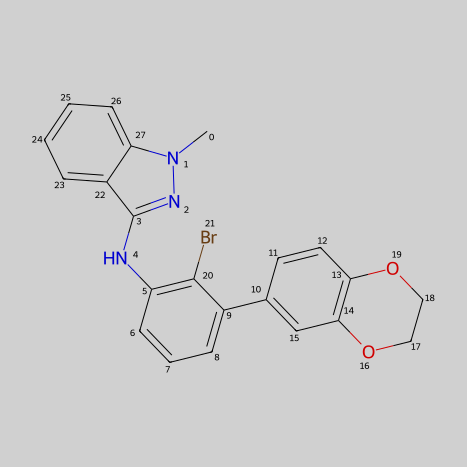 Cn1nc(Nc2cccc(-c3ccc4c(c3)OCCO4)c2Br)c2ccccc21